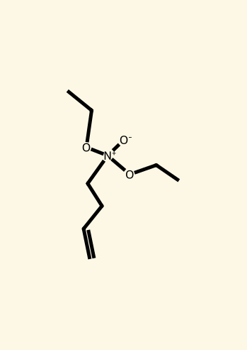 C=CCC[N+]([O-])(OCC)OCC